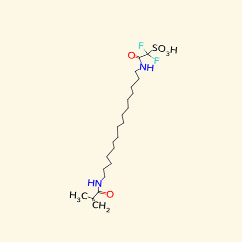 C=C(C)C(=O)NCCCCCCCCCCCCCCCCNC(=O)C(F)(F)S(=O)(=O)O